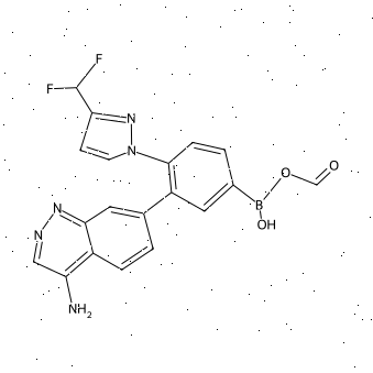 Nc1cnnc2cc(-c3cc(B(O)OC=O)ccc3-n3ccc(C(F)F)n3)ccc12